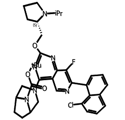 CC(C)N1CCC[C@H]1COc1nc(N2CC3CCC(C2)N3C(=O)OC(C)(C)C)c2cnc(-c3cccc4cccc(Cl)c34)c(F)c2n1